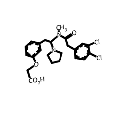 CN(C(=O)Cc1ccc(Cl)c(Cl)c1)C(Cc1cccc(OCC(=O)O)c1)N1CCCC1